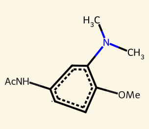 COc1c[c]c(NC(C)=O)cc1N(C)C